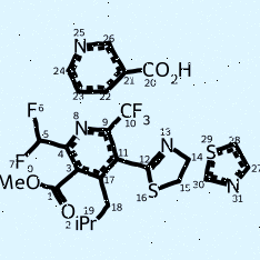 COC(=O)c1c(C(F)F)nc(C(F)(F)F)c(C2=NCCS2)c1CC(C)C.O=C(O)c1cccnc1.c1cscn1